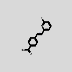 O=C(O)c1ccc(/C=C/c2cccc(F)n2)cc1